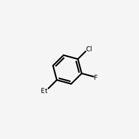 [CH2]Cc1ccc(Cl)c(F)c1